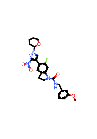 COc1cccc(CNC(=O)N2CCc3cc(-c4cn(C5CCCCO5)nc4[N+](=O)[O-])c(F)cc32)c1